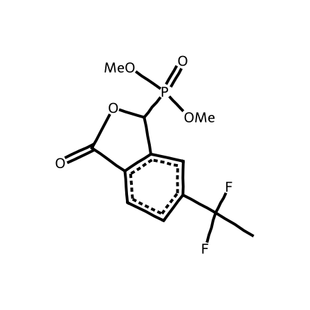 COP(=O)(OC)C1OC(=O)c2ccc(C(C)(F)F)cc21